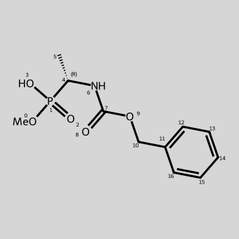 COP(=O)(O)[C@H](C)NC(=O)OCc1ccccc1